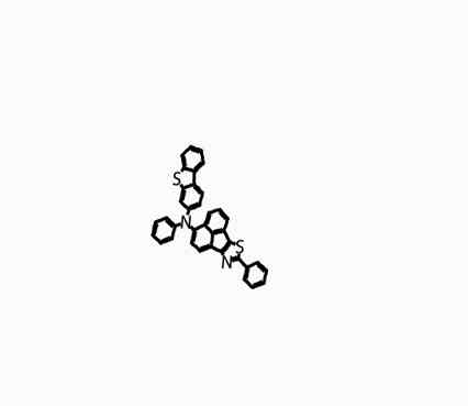 c1ccc(-c2nc3c(s2)-c2cccc4c(N(c5ccccc5)c5ccc6c(c5)sc5ccccc56)ccc-3c24)cc1